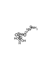 NC(=O)CNCCCOc1cccc(CNc2nc3ccccc3n2[C@@H]2O[C@H](CO)[C@@H](O)[C@H]2O)c1